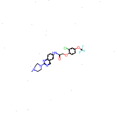 CN1CCN(c2ncc3cc(NC(=O)COc4ccc(OC(F)(F)F)cc4Cl)ccc3n2)CC1